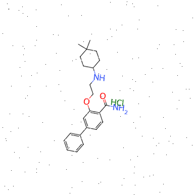 CC1(C)CCC(NCCOc2cc(-c3ccccc3)ccc2C(N)=O)CC1.Cl